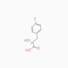 O=C(O)[C@H](O)Cc1ccc(F)cc1